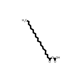 CCCCCCCCCCCCCCCCCCCC(=O)OC(=O)O